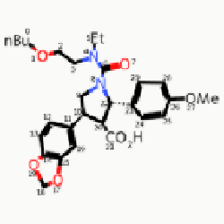 CCCCOCCN(CC)C(=O)N1C[C@H](c2ccc3c(c2)OCO3)[C@H](C(=O)O)[C@H]1c1ccc(OC)cc1